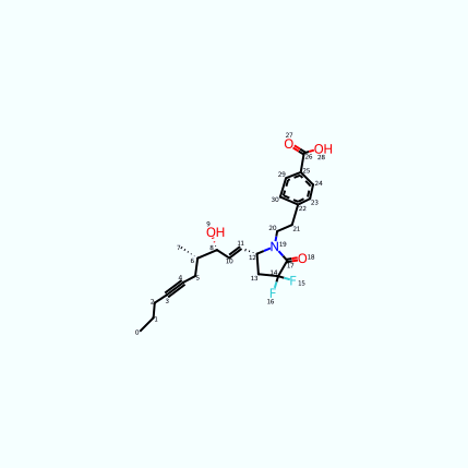 CCCC#CC[C@H](C)[C@H](O)C=C[C@H]1CC(F)(F)C(=O)N1CCc1ccc(C(=O)O)cc1